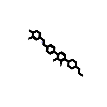 CCCC1CCC(c2ccc(-c3ccc(/C=C/C4=CCC(C)C(F)=C4)cc3)c(F)c2F)CC1